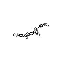 O=C(CN1CCN(C(=O)[C@@H]2C[C@H](S)CN2C(=O)OCc2ccc([N+](=O)[O-])cc2)CC1)C(=O)OCc1ccc([N+](=O)[O-])cc1